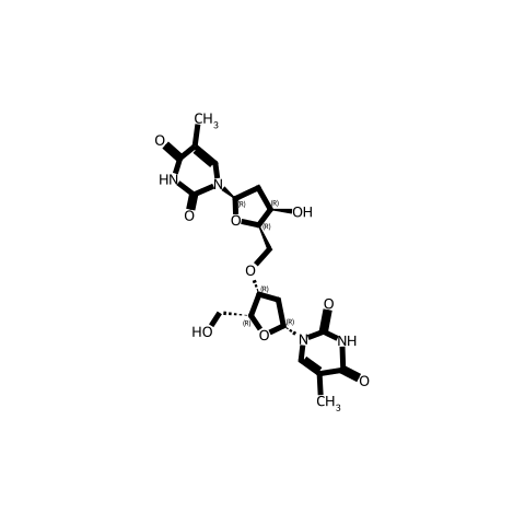 Cc1cn([C@H]2C[C@@H](O)[C@@H](CO[C@@H]3C[C@H](n4cc(C)c(=O)[nH]c4=O)O[C@@H]3CO)O2)c(=O)[nH]c1=O